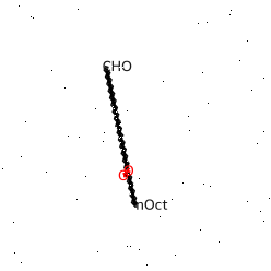 CCCCCCCC/C=C\CCCCCCCC(=O)OCCCCCCCCCCCCCCCCCCCCCCCCCCCCCC=O